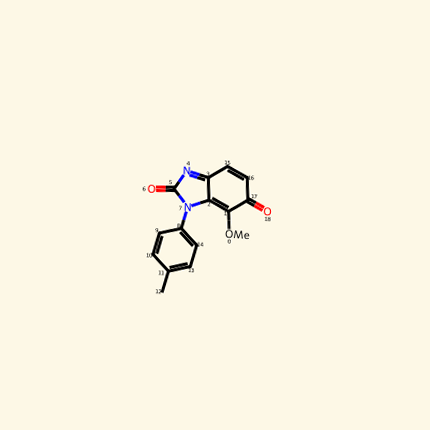 COC1=C2C(=NC(=O)N2c2ccc(C)cc2)C=CC1=O